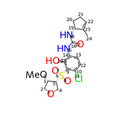 CO[C@H]1COC[C@H]1S(=O)(=O)c1c(Cl)ccc(NC(=O)N[C@@H]2CCC=C2C)c1O